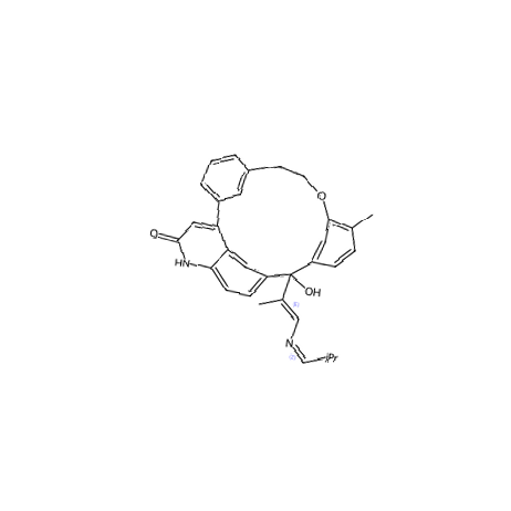 C/C(=C\N=C/C(C)C)C1(O)c2ccc(C)c(c2)OCCc2cccc(c2)-c2cc(=O)[nH]c3ccc1cc23